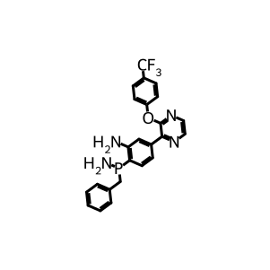 Nc1cc(-c2nccnc2Oc2ccc(C(F)(F)F)cc2)ccc1P(N)Cc1ccccc1